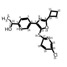 C[C@H](O)c1ccc(-c2nc(C3CCC3)oc2Sc2ccc(Cl)cn2)cn1